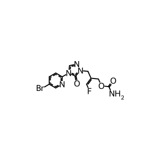 NC(=O)OCC(=CF)Cn1ncn(-c2ccc(Br)cn2)c1=O